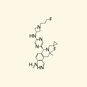 CC1(C)Cc2c(ccc(N)c2C=N)[C@@H](c2cnc(NC3CN(CCCF)C3)cn2)N1CC1(F)CC1